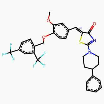 COc1cc(/C=C2\SC(N3CCC(c4ccccc4)CC3)=NC2=O)ccc1OCc1ccc(C(F)(F)F)cc1C(F)(F)F